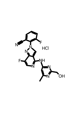 Cc1cc(Nc2ncc(F)c3nn(-c4c(F)cccc4C#N)cc23)nc(CO)n1.Cl